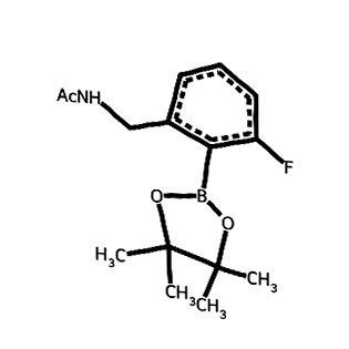 CC(=O)NCc1cccc(F)c1B1OC(C)(C)C(C)(C)O1